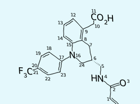 C=CC(=O)NC[C@H]1Cc2c(CC(=O)O)cccc2N(c2ccc(C(F)(F)F)cc2)C1